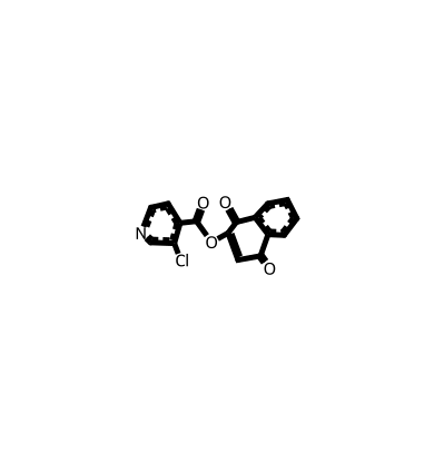 O=C(OC1=CC(=O)c2ccccc2C1=O)c1ccncc1Cl